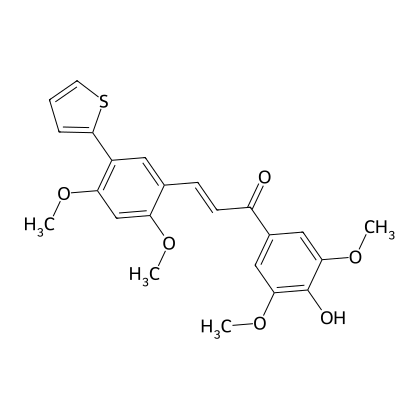 COc1cc(OC)c(-c2cccs2)cc1C=CC(=O)c1cc(OC)c(O)c(OC)c1